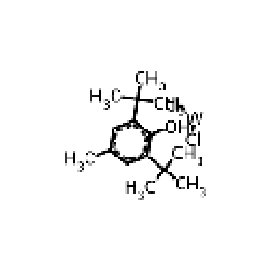 Cc1cc(C(C)(C)C)c(O)c(C(C)(C)C)c1.[Cl][W][Cl]